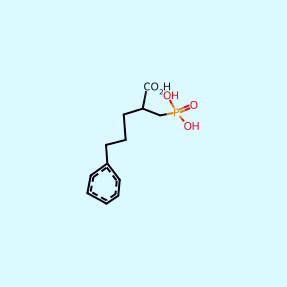 O=C(O)C(CCCc1ccccc1)CP(=O)(O)O